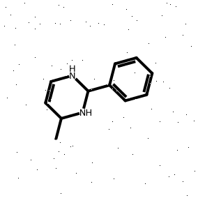 CC1C=CNC(c2ccccc2)N1